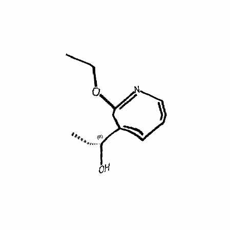 CCOc1ncccc1[C@@H](C)O